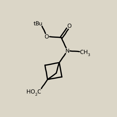 CN(C(=O)OC(C)(C)C)C12CC(C(=O)O)(C1)C2